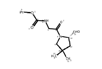 CC(C)OC(=O)NCC(=O)N1CC(C)(C)C[C@H]1C=O